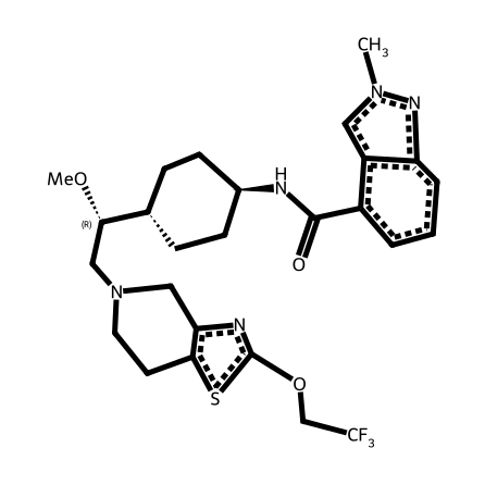 CO[C@@H](CN1CCc2sc(OCC(F)(F)F)nc2C1)[C@H]1CC[C@H](NC(=O)c2cccc3nn(C)cc23)CC1